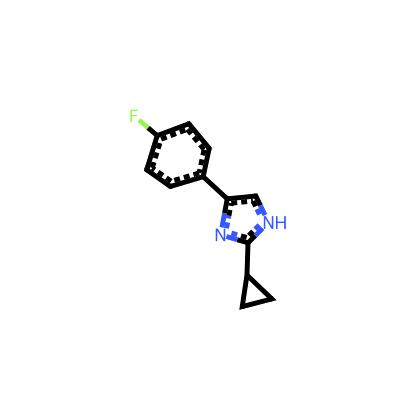 Fc1ccc(-c2c[nH]c(C3CC3)n2)cc1